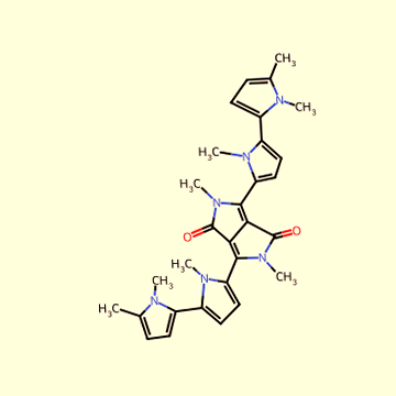 Cc1ccc(-c2ccc(C3=C4C(=O)N(C)C(c5ccc(-c6ccc(C)n6C)n5C)=C4C(=O)N3C)n2C)n1C